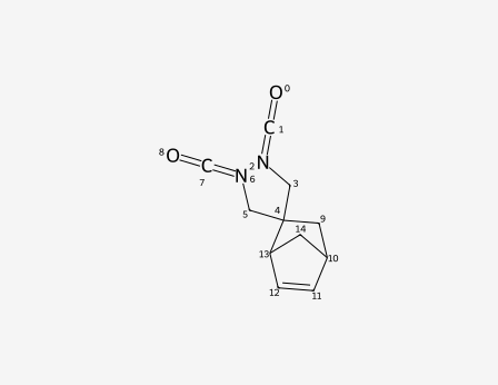 O=C=NCC1(CN=C=O)CC2C=CC1C2